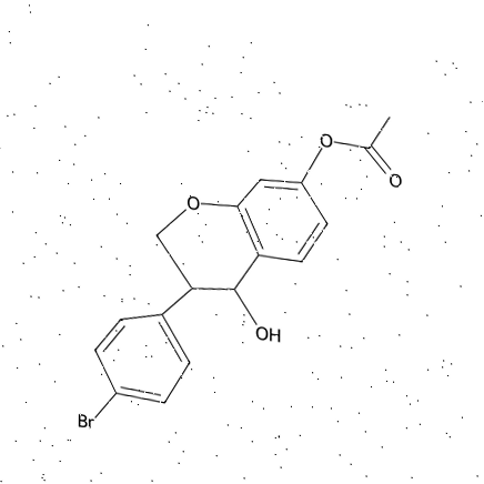 CC(=O)Oc1ccc2c(c1)OCC(c1ccc(Br)cc1)C2O